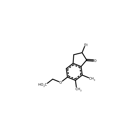 CCC1Cc2cc(OCC(=O)O)c(C)c(C)c2C1=O